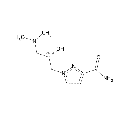 CN(C)C[C@H](O)Cn1ccc(C(N)=O)n1